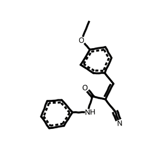 COc1ccc(C=C(C#N)C(=O)Nc2ccccc2)cc1